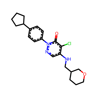 O=c1c(Cl)c(NCC2CCCOC2)cnn1-c1ccc(C2CCCC2)cc1